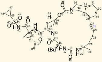 C=C[C@@H]1C[C@]1(NC(=O)[C@@H]1C[C@@H]2CN1C(=O)[C@H](C(C)(C)C)NC(=O)NC(C)(C)CC/C=C/c1cccc3c1CN(C3)C(=O)O2)C(=O)NS(=O)(=O)C1CC1